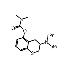 CCCN(CCC)C1CSc2cccc(OC(=O)N(C)C)c2C1